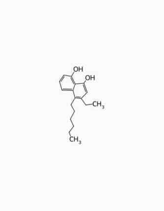 CCCCCCc1c(CC)cc(O)c2c(O)cccc12